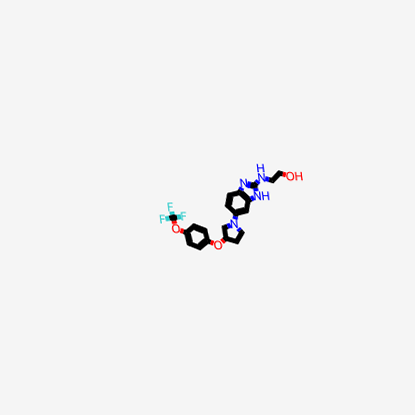 OCCNc1nc2ccc(N3CCC(Oc4ccc(OC(F)(F)F)cc4)C3)cc2[nH]1